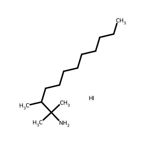 CCCCCCCCCC(C)C(C)(C)N.I